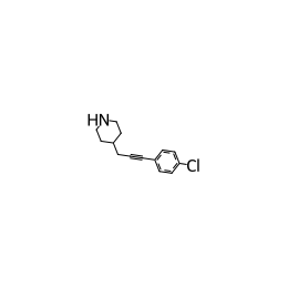 Clc1ccc(C#CCC2CCNCC2)cc1